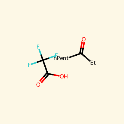 CCCCCC(=O)CC.O=C(O)C(F)(F)F